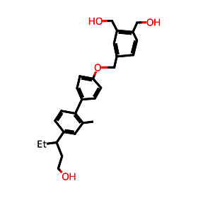 CCC(CCO)c1ccc(-c2ccc(OCc3ccc(CO)c(CO)c3)cc2)c(C)c1